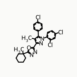 Cc1c(-c2nnc(C3(C)CCCCC3)o2)nn(-c2ccc(Cl)cc2Cl)c1-c1ccc(Cl)cc1